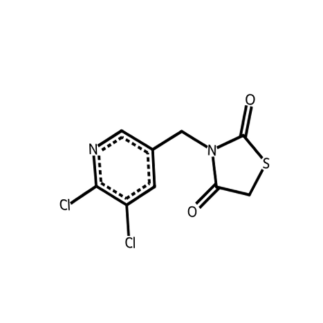 O=C1CSC(=O)N1Cc1cnc(Cl)c(Cl)c1